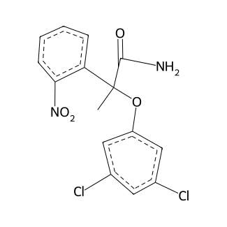 CC(Oc1cc(Cl)cc(Cl)c1)(C(N)=O)c1ccccc1[N+](=O)[O-]